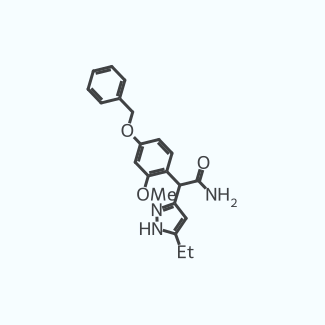 CCc1cc(C(C(N)=O)c2ccc(OCc3ccccc3)cc2OC)n[nH]1